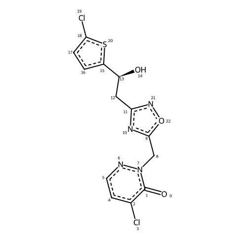 O=c1c(Cl)ccnn1Cc1nc(C[C@H](O)c2ccc(Cl)s2)no1